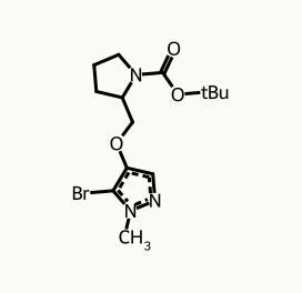 Cn1ncc(OCC2CCCN2C(=O)OC(C)(C)C)c1Br